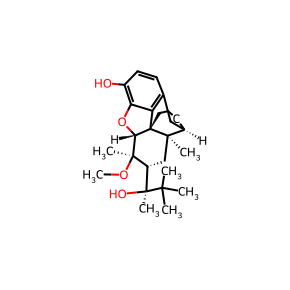 CO[C@]1(C)[C@@H]([C@](C)(O)C(C)(C)C)C[C@]2(C)[C@@H]3CCC[C@@]24c2c(ccc(O)c2O[C@@H]14)C3